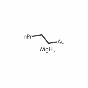 CCCCCC(C)=O.[MgH2]